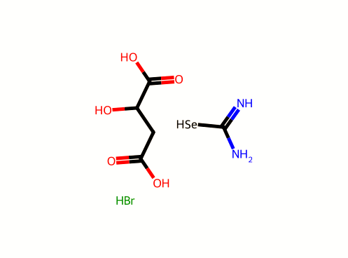 Br.N=C(N)[SeH].O=C(O)CC(O)C(=O)O